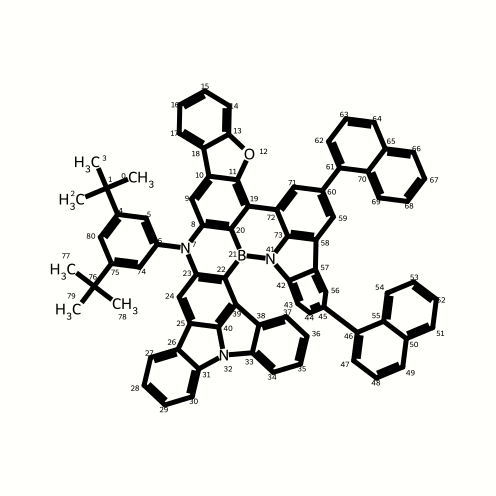 CC(C)(C)c1cc(N2c3cc4c(oc5ccccc54)c4c3B(c3c2cc2c5ccccc5n5c6ccccc6c3c25)n2c3ccc(-c5cccc6ccccc56)cc3c3cc(-c5cccc6ccccc56)cc-4c32)cc(C(C)(C)C)c1